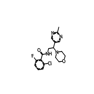 Cc1ncc(C(CNC(=O)c2c(F)cccc2Cl)N2CCOCC2)cn1